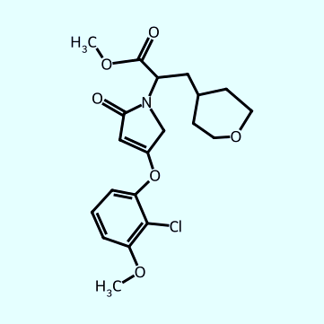 COC(=O)C(CC1CCOCC1)N1CC(Oc2cccc(OC)c2Cl)=CC1=O